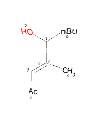 CCCCC(O)/C(C)=C/C(C)=O